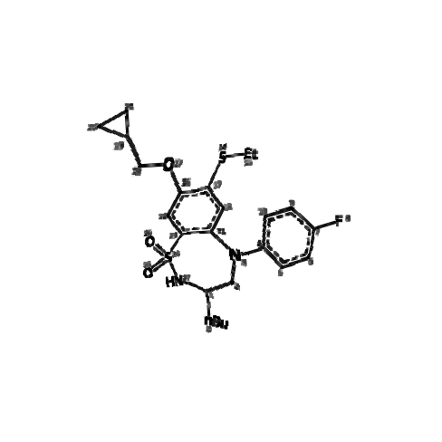 CCCCC1CN(c2ccc(F)cc2)c2cc(SCC)c(OCC3CC3)cc2S(=O)(=O)N1